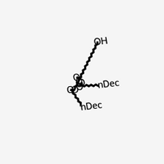 CCCCCCCCCCCCCCCCCC(=O)OCC(COC(=O)CCCCCCCCCCCCCCCCCO)OC(=O)CCCCCCCCCCCCCCCCC